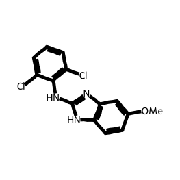 COc1ccc2[nH]c(Nc3c(Cl)cccc3Cl)nc2c1